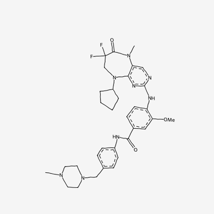 COc1cc(C(=O)Nc2ccc(CN3CCN(C)CC3)cc2)ccc1Nc1ncc2c(n1)N(C1CCCC1)CC(F)(F)C(=O)N2C